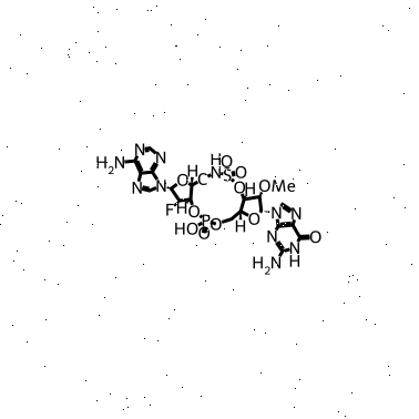 CO[C@@H]1[C@@H]2OS(=O)(=O)NC[C@H]3O[C@@H](n4cnc5c(N)ncnc54)[C@H](F)[C@@H]3OP(=O)(O)OC[C@H]2O[C@H]1n1cnc2c(=O)[nH]c(N)nc21